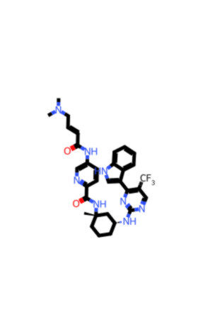 CN(C)C/C=C/C(=O)Nc1ccc(C(=O)N[C@@]2(C)CCC[C@@H](Nc3ncc(C(F)(F)F)c(-c4c[nH]c5ccccc45)n3)C2)nc1